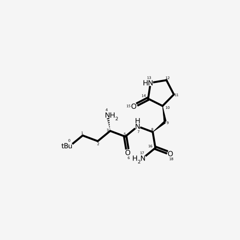 CC(C)(C)CC[C@H](N)C(=O)N[C@@H](C[C@@H]1CCNC1=O)C(N)=O